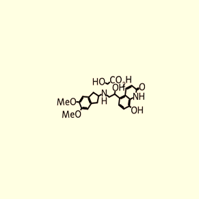 COc1cc2c(cc1OC)CC(NCC(O)c1ccc(O)c3[nH]c(=O)ccc13)C2.O=C(O)CO